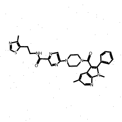 Cc1cnc2c(c1)c(C(=O)N1CCN(c3cnc(C(=O)NCCc4scnc4C)cn3)CC1)c(-c1ccccc1)n2C